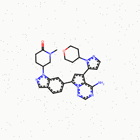 CN1CC(n2ncc3ccc(-c4cc(-c5ccnn5C5CCOCC5)c5c(N)ncnn45)cc32)CCC1=O